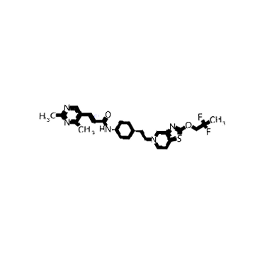 Cc1ncc(/C=C/C(=O)N[C@H]2CC[C@H](CCN3CCc4sc(OCC(C)(F)F)nc4C3)CC2)c(C)n1